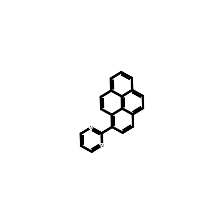 c1cnc(-c2ccc3ccc4cccc5ccc2c3c45)nc1